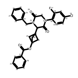 O=C(OC12CC(C3C(=O)N(c4ncc(Cl)cc4F)CC(=O)N3Cc3ccccc3)(C1)C2)c1ccccc1